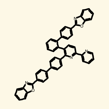 c1ccc(-c2ccc(-c3ccccc3-c3ccc(-c4nc5ccccc5o4)cc3)c(-c3ccc(-c4ccc(-c5nc6ccccc6o5)cc4)cc3)n2)nc1